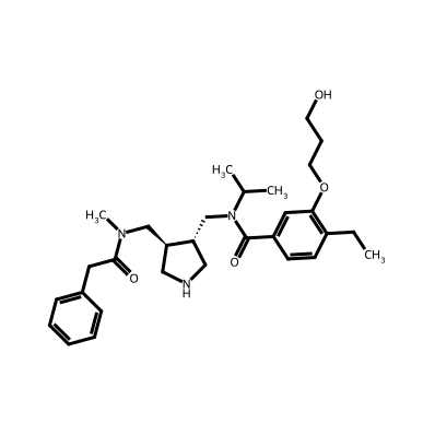 CCc1ccc(C(=O)N(C[C@@H]2CNC[C@H]2CN(C)C(=O)Cc2ccccc2)C(C)C)cc1OCCCO